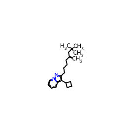 C=C(CCCCc1nn2ccccc2c1C1CCC1)CC(C)(C)C